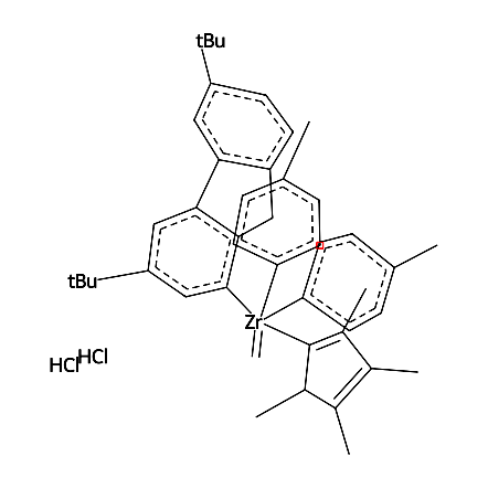 Cl.Cl.[CH2]=[Zr]([C]1=C(C)C(C)=C(C)C1C)([c]1ccc(C)cc1)([c]1ccc(C)cc1)[c]1cc(C(C)(C)C)cc2c1Cc1ccc(C(C)(C)C)cc1-2